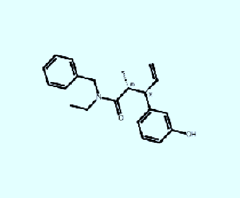 C=C[C@@H](c1cccc(O)c1)[C@@H](C)C(=O)N(CC)Cc1ccccc1